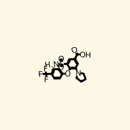 NS(=O)(=O)c1cc(C(=O)O)cc(N2CCCC2)c1Oc1ccc(C(F)(F)F)cc1